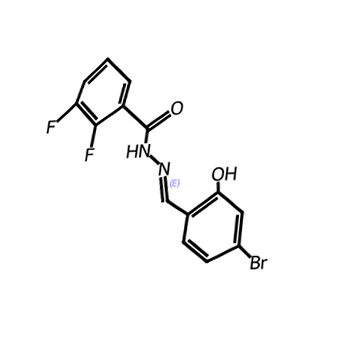 O=C(N/N=C/c1ccc(Br)cc1O)c1cccc(F)c1F